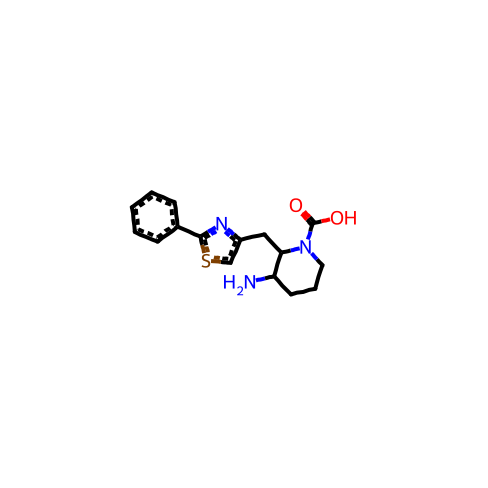 NC1CCCN(C(=O)O)C1Cc1csc(-c2ccccc2)n1